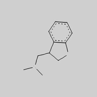 CN(C)CC1CSc2ccccc21